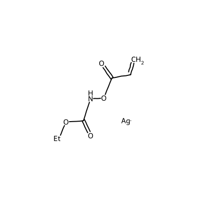 C=CC(=O)ONC(=O)OCC.[Ag]